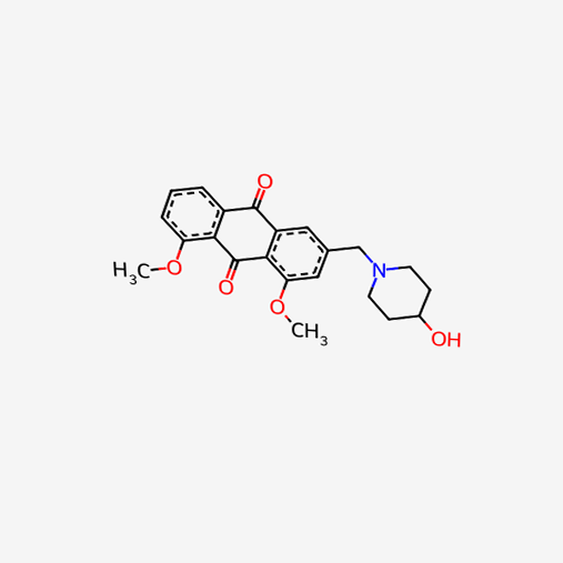 COc1cccc2c1C(=O)c1c(OC)cc(CN3CCC(O)CC3)cc1C2=O